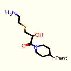 CCCCCC1CCN(C(=O)C(O)CSCCN)CC1